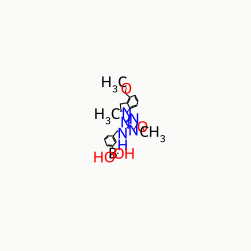 COCc1cccc2c1CC(C)N2c1nc(NCc2cccc(B(O)O)c2)nc(OC)n1